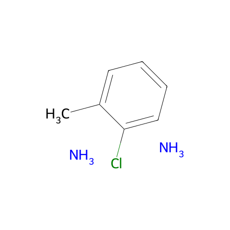 Cc1ccccc1Cl.N.N